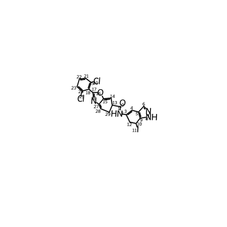 O=C(NC1=Cc2cn[nH]c2C(I)C1)C1C=c2oc(-c3c(Cl)cccc3Cl)nc2=CC1